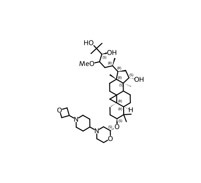 COC(C[C@@H](C)[C@H]1C[C@H](O)[C@@]2(C)C3CC[C@H]4C(C)(C)[C@@H](O[C@H]5CN(C6CCN(C7COC7)CC6)CCO5)CC[C@@]45CC35CC[C@]12C)[C@H](O)C(C)(C)O